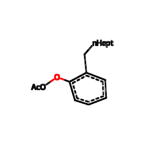 CCCCCCCCc1ccccc1OOC(C)=O